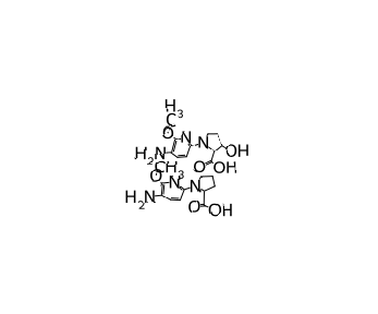 COc1nc(N2CCC(O)C2C(=O)O)ccc1N.COc1nc(N2CCCC2C(=O)O)ccc1N